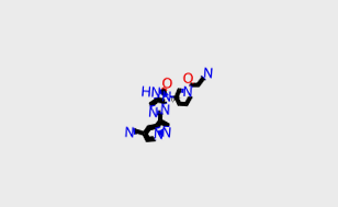 N#CCC(=O)N1CCC[C@@H](n2c(=O)[nH]c3cnc(-c4cnn5ccc(C#N)cc45)nc32)C1